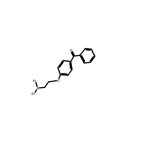 CCN(CC)CCOc1ccc(C(=O)c2ccccc2)cc1